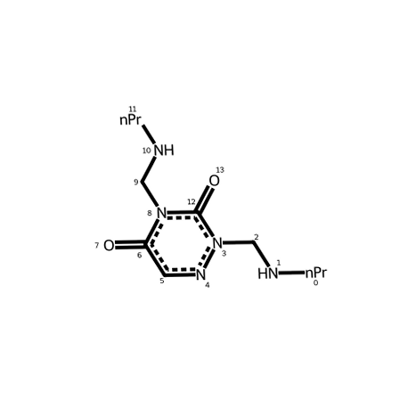 CCCNCn1ncc(=O)n(CNCCC)c1=O